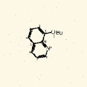 CC(C)COc1cccc2cccnc12